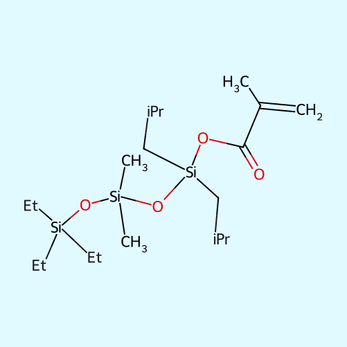 C=C(C)C(=O)O[Si](CC(C)C)(CC(C)C)O[Si](C)(C)O[Si](CC)(CC)CC